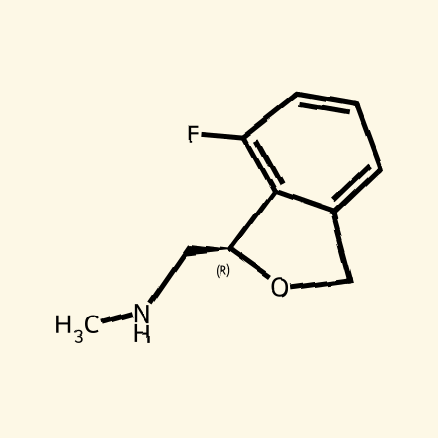 CNC[C@@H]1OCc2cccc(F)c21